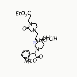 CCOC(=O)CCN1CCN(C/C=C2/CN(C(C(=O)OC)c3ccccc3F)CCC2S)CC1=O.Cl.Cl